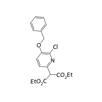 CCOC(=O)C(C(=O)OCC)c1ccc(OCc2ccccc2)c(Cl)n1